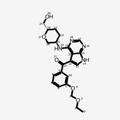 CCOCOc1cccc(C(=O)c2c[nH]c3ncnc(N[C@@H]4CC[C@@H](CO)OC4)c23)c1